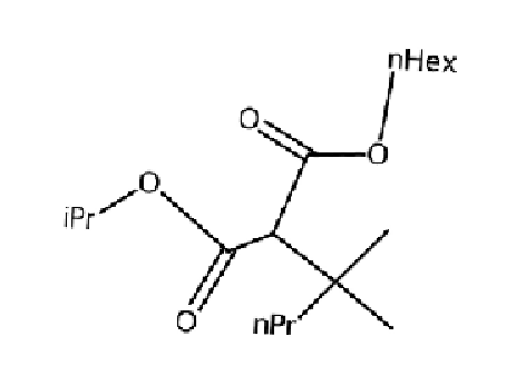 CCCCCCOC(=O)C(C(=O)OC(C)C)C(C)(C)CCC